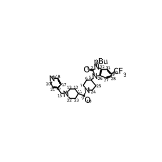 CCCCn1c(=O)n(C2CCN(C(=O)C3CCN(Cc4ccncc4)CC3)CC2)c2ccc(C(F)(F)F)cc21